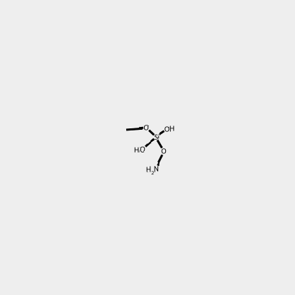 CO[Si](O)(O)ON